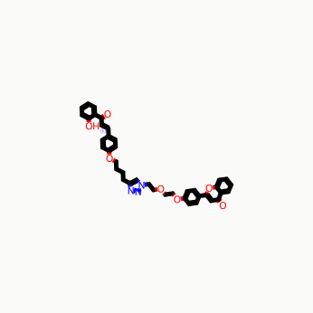 O=C(/C=C/c1ccc(OCCCCc2cn(CCOCCOc3ccc(-c4cc(=O)c5ccccc5o4)cc3)nn2)cc1)c1ccccc1O